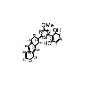 COc1nc(C2=C(O)C=CCC2O)nc(C2CC=C3C=C4C=CCCC4=CC3C2)n1